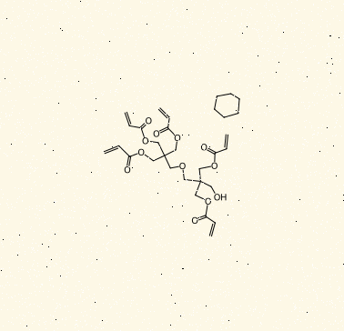 C1CCCCC1.C=CC(=O)OCC(CO)(COCC(COC(=O)C=C)(COC(=O)C=C)COC(=O)C=C)COC(=O)C=C